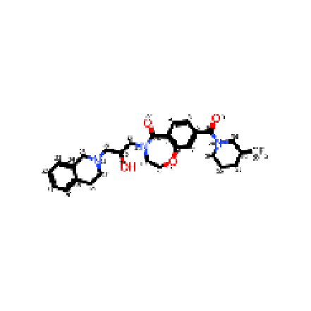 O=C(c1ccc2c(c1)OCCN(CC(O)CN1CCc3ccccc3C1)C2=O)N1CCCC(C(F)(F)F)C1